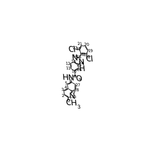 Cc1ccc2cc(NC(=O)c3ccc4nc(-c5c(Cl)cccc5Cl)[nH]c4c3)ccc2n1